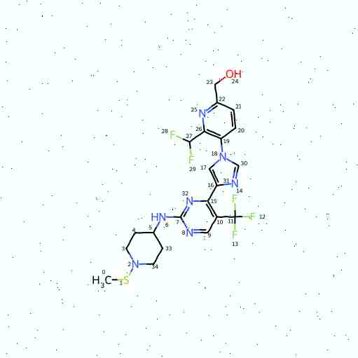 CSN1CCC(Nc2ncc(C(F)(F)F)c(-c3cn(-c4ccc(CO)nc4C(F)F)cn3)n2)CC1